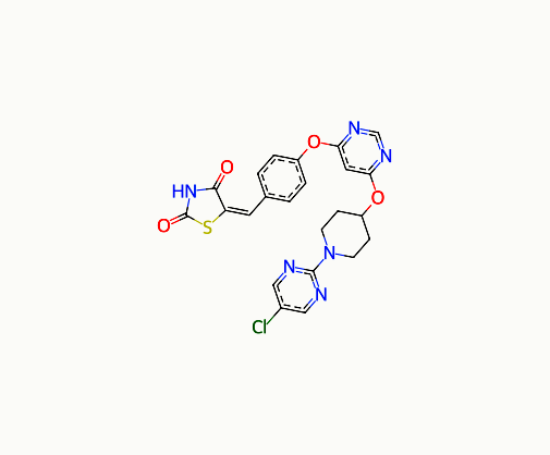 O=C1NC(=O)/C(=C\c2ccc(Oc3cc(OC4CCN(c5ncc(Cl)cn5)CC4)ncn3)cc2)S1